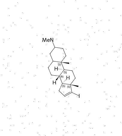 CNC1CC[C@@]2(C)C(CC[C@@H]3[C@@H]2CC[C@]2(C)C(I)=CC[C@@H]32)C1